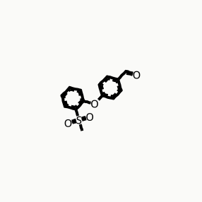 CS(=O)(=O)c1ccccc1Oc1ccc(C=O)cc1